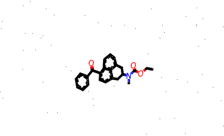 CCOC(=O)N(C)C1Cc2cccc3c(C(=O)c4ccccc4)ccc(c23)C1